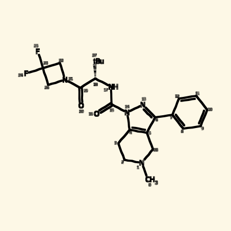 CN1CCc2c(c(-c3ccccc3)nn2C(=O)N[C@H](C(=O)N2CC(F)(F)C2)C(C)(C)C)C1